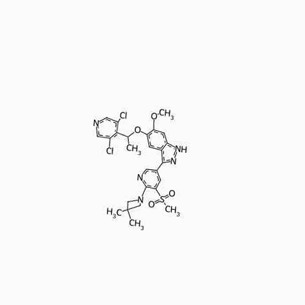 COc1cc2[nH]nc(-c3cnc(N4CC(C)(C)C4)c(S(C)(=O)=O)c3)c2cc1OC(C)c1c(Cl)cncc1Cl